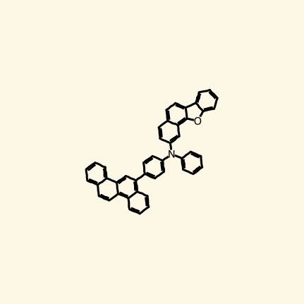 c1ccc(N(c2ccc(-c3cc4c5ccccc5ccc4c4ccccc34)cc2)c2ccc3ccc4c5ccccc5oc4c3c2)cc1